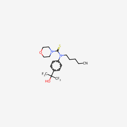 N#CCCCCN(C(=S)N1CCOCC1)c1ccc(C(O)(C(F)(F)F)C(F)(F)F)cc1